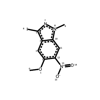 COc1cc2c(I)nn(C)c2cc1[N+](=O)[O-]